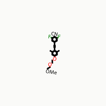 COCCOCCOc1cc(C)c(C#Cc2cc(F)c(C#N)c(F)c2)c(C)c1